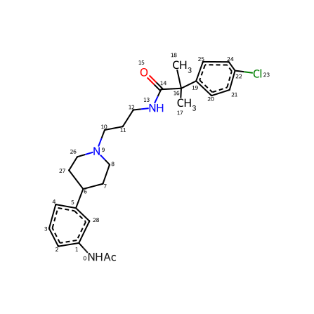 CC(=O)Nc1cccc(C2CCN(CCCNC(=O)C(C)(C)c3ccc(Cl)cc3)CC2)c1